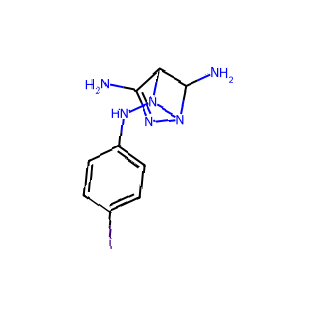 NC1=NN2C(N)C1N2Nc1ccc(I)cc1